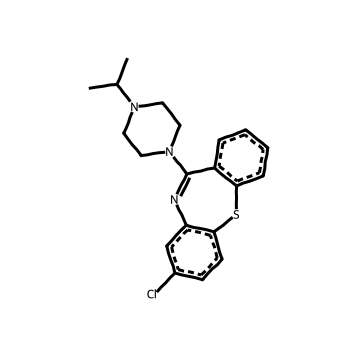 CC(C)N1CCN(C2=Nc3cc(Cl)ccc3Sc3ccccc32)CC1